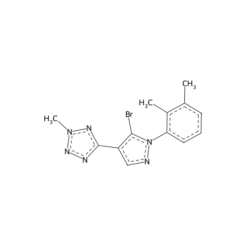 Cc1cccc(-n2ncc(-c3nnn(C)n3)c2Br)c1C